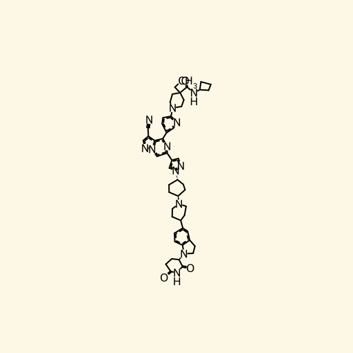 CCC1(C(=O)NC2CCC2)CCN(c2ccc(-c3nc(-c4cnn([C@H]5CC[C@H](N6CCC(c7ccc8c(c7)CCN8[C@@H]7CCC(=O)NC7=O)CC6)CC5)c4)cn4ncc(C#N)c34)cn2)CC1